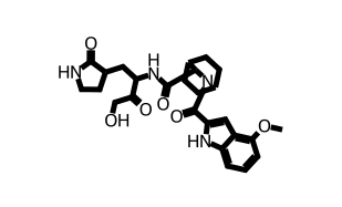 COc1cccc2[nH]c(C(=O)N3C4CCC(CC4)C3C(=O)NC(CC3CCNC3=O)C(=O)CO)cc12